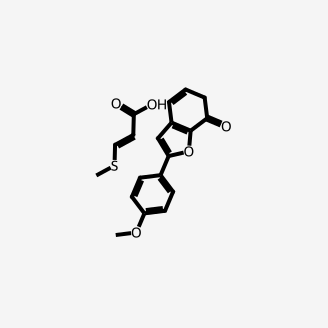 COc1ccc(-c2cc3c(o2)C(=O)CC=C3)cc1.CS/C=C/C(=O)O